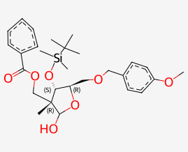 COc1ccc(COC[C@H]2OC(O)[C@](C)(COC(=O)c3ccccc3)[C@@H]2O[Si](C)(C)C(C)(C)C)cc1